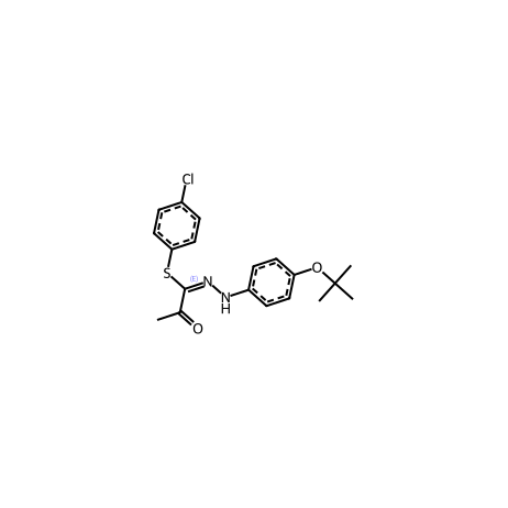 CC(=O)/C(=N\Nc1ccc(OC(C)(C)C)cc1)Sc1ccc(Cl)cc1